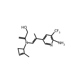 C=C(CO)N(/C=C(\C)c1cnc(N)c(C(F)(F)F)c1)C1CC=C1C